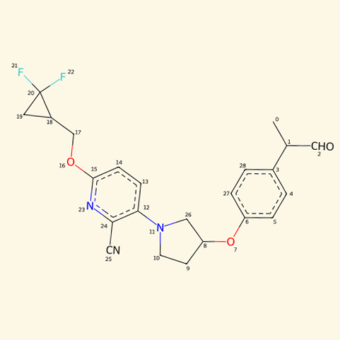 CC(C=O)c1ccc(OC2CCN(c3ccc(OCC4CC4(F)F)nc3C#N)C2)cc1